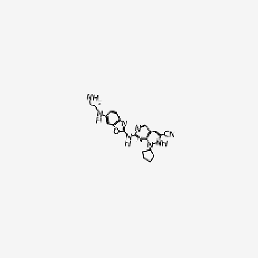 N#CC1=Cc2cnc(Nc3nc4ccc(NCCN)cc4o3)nc2N(C2CCCC2)N1